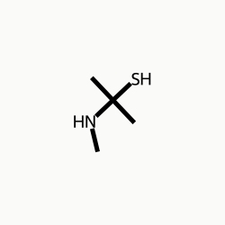 CNC(C)(C)S